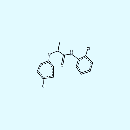 CC(Oc1ccc(Cl)cc1)C(=O)Nc1ccccc1Cl